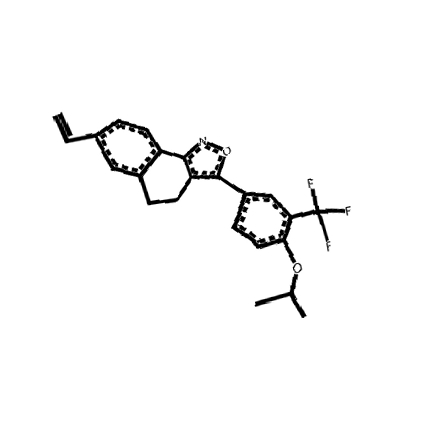 C=Cc1ccc2c(c1)CCc1c-2noc1-c1ccc(OC(C)C)c(C(F)(F)F)c1